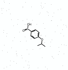 CC(C)Oc1ccc(S(=O)O)cc1